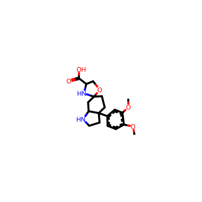 COc1ccc(C23CCNC2CC2(CC3)NC(C(=O)O)CO2)cc1OC